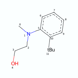 CN(CCO)c1ccccc1C(C)(C)C